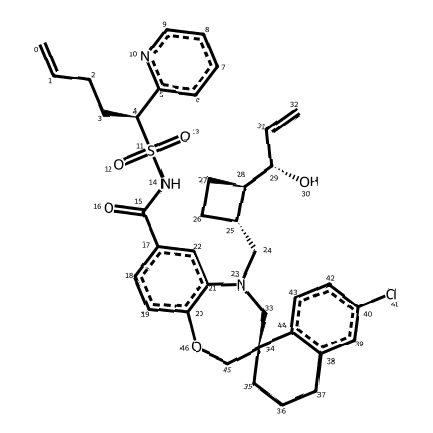 C=CCC[C@@H](c1ccccn1)S(=O)(=O)NC(=O)c1ccc2c(c1)N(C[C@@H]1CC[C@H]1[C@@H](O)C=C)C[C@@]1(CCCc3cc(Cl)ccc31)CO2